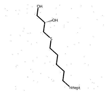 CCCCCCCCCCCCSC[C@@H](O)CO